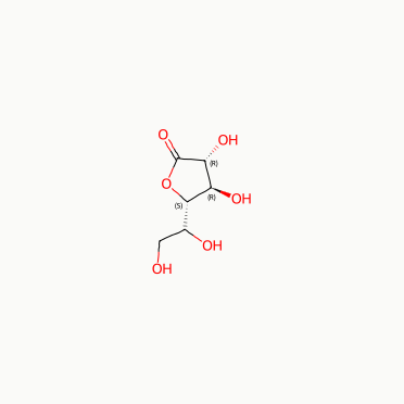 O=C1O[C@@H](C(O)CO)[C@H](O)[C@H]1O